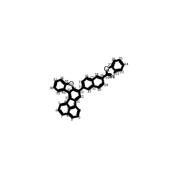 c1cc2c3c(cccc3c1)-c1c-2cc(-c2ccc3cc(-c4nc5ccccc5o4)ccc3c2)c2oc3ccccc3c12